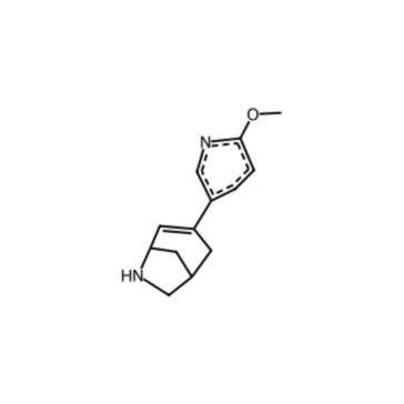 COc1ccc(C2=CC3CC(CN3)C2)cn1